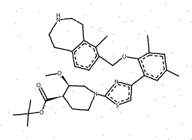 CO[C@H]1CN(c2nc(-c3cc(C)cc(C)c3OCc3ccc4c(c3C)CCNCC4)cs2)CC[C@H]1C(=O)OC(C)(C)C